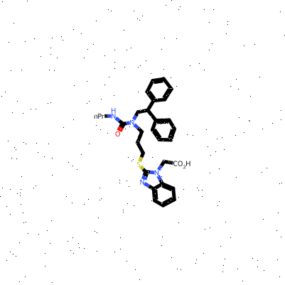 CCCNC(=O)N(CCCSc1nc2ccccc2n1CC(=O)O)CC(c1ccccc1)c1ccccc1